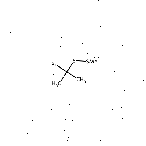 CCCC(C)(C)SSC